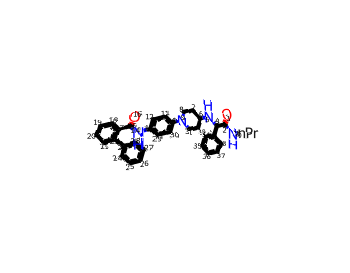 CCCNC(=O)C(NC1CCN(c2ccc(NC(=O)c3ccccc3-c3ccccc3)cc2)CC1)c1ccccc1